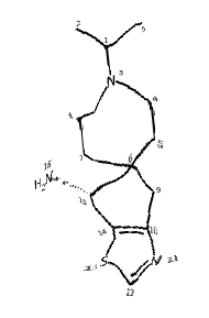 CC(C)N1CCC2(CC1)Cc1ncsc1[C@@H]2N